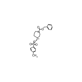 Cc1ccc(S(=O)(=O)OC[C@H]2CCCN(C(=O)OCc3ccccc3)CC2)cc1